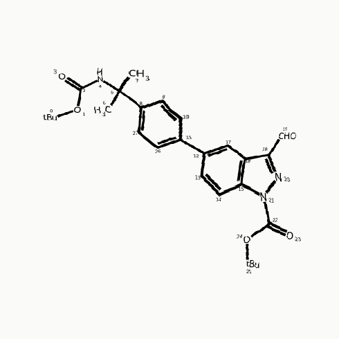 CC(C)(C)OC(=O)NC(C)(C)c1ccc(-c2ccc3c(c2)c(C=O)nn3C(=O)OC(C)(C)C)cc1